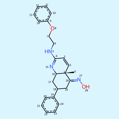 C[C@]12C=CC(NCCOc3ccccc3)=NC1CC(c1ccccc1)C/C2=N\O